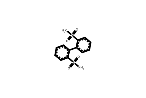 CS(=O)(=O)c1ccccc1-c1ccccc1S(N)(=O)=O